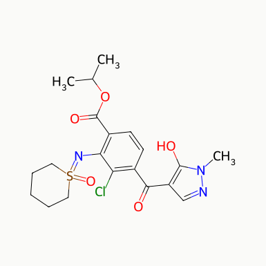 CC(C)OC(=O)c1ccc(C(=O)c2cnn(C)c2O)c(Cl)c1N=S1(=O)CCCCC1